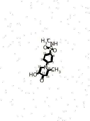 CNS(=O)(=O)c1ccc(-n2cc(O)c(=O)cc2C)cc1